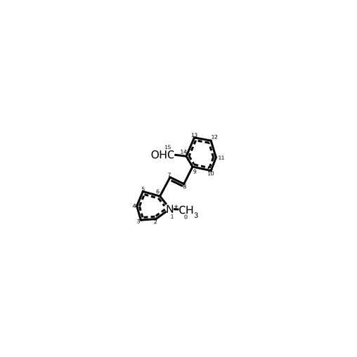 C[n+]1ccccc1C=Cc1ccccc1C=O